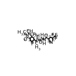 CCN(C(=O)c1ccc([C@@H](C)NC(=O)NNC(=O)c2cncc(C(F)(F)F)c2)c(F)c1)C(C)C